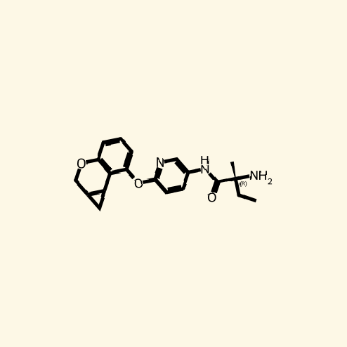 CC[C@@](C)(N)C(=O)Nc1ccc(Oc2cccc3c2C2CC2CO3)nc1